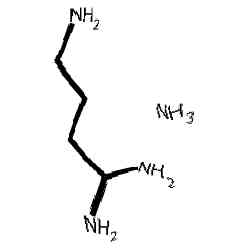 N.NCCCC(N)N